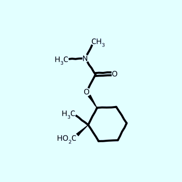 CN(C)C(=O)O[C@H]1CCCC[C@@]1(C)C(=O)O